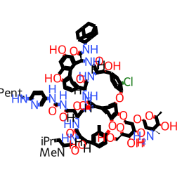 CCCCCNc1ccc(NC(=O)NC(=O)C[C@@H]2NC(=O)[C@H](NC(=O)[C@@H](CC(C)C)NC)[C@H](O)c3ccc(c(C)c3)Oc3cc4cc(c3O[C@@H]3O[C@H](CO)[C@@H](O)[C@H](O)[C@H]3O[C@H]3C[C@](C)(N)[C@H](O)[C@H](C)O3)Oc3ccc(cc3Cl)[C@@H](O)[C@@H]3NC(=O)[C@H](NC(=O)[C@@H]4NC2=O)c2ccc(O)c(c2)-c2c(C)cc(O)cc2[C@@H](C(=O)NC2C4CC5CC(C4)CC2C5)NC3=O)cn1